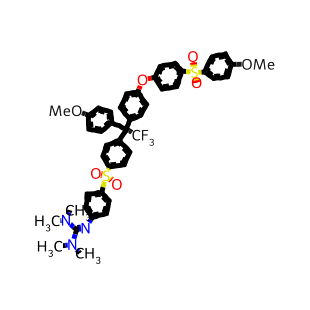 COc1ccc(C(c2ccc(Oc3ccc(S(=O)(=O)c4ccc(OC)cc4)cc3)cc2)(c2ccc(S(=O)(=O)c3ccc(N=C(N(C)C)N(C)C)cc3)cc2)C(F)(F)F)cc1